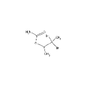 CC(OC(N)=O)C(C)(Br)Br